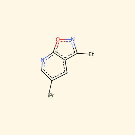 CCc1noc2ncc(C(C)C)cc12